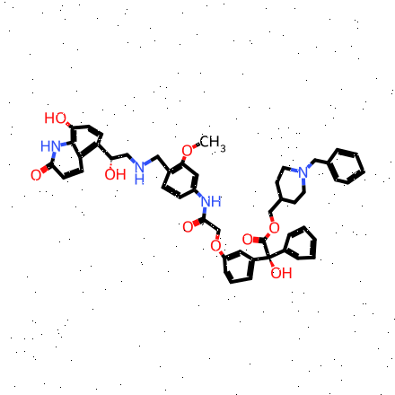 COc1cc(NC(=O)COc2cccc([C@](O)(C(=O)OCC3CCN(Cc4ccccc4)CC3)c3ccccc3)c2)ccc1CNC[C@H](O)c1ccc(O)c2[nH]c(=O)ccc12